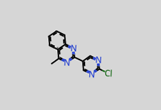 Cc1nc(-c2cnc(Cl)nc2)nc2ccccc12